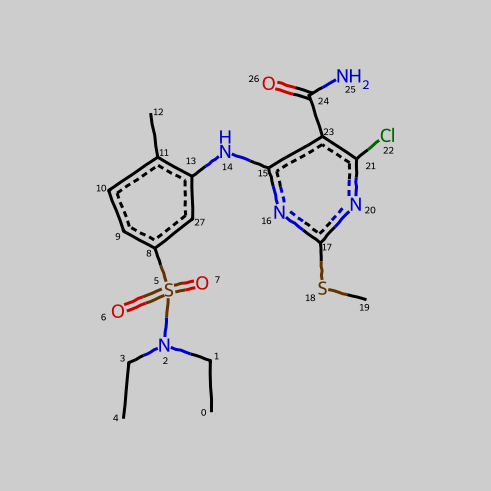 CCN(CC)S(=O)(=O)c1ccc(C)c(Nc2nc(SC)nc(Cl)c2C(N)=O)c1